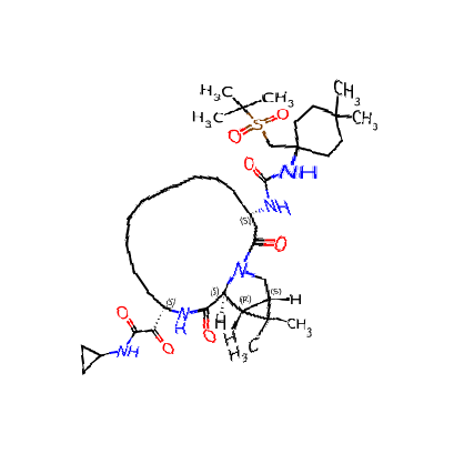 CC1(C)CCC(CS(=O)(=O)C(C)(C)C)(NC(=O)N[C@H]2CCCCCCCCC[C@@H](C(=O)C(=O)NC3CC3)NC(=O)[C@@H]3[C@@H]4[C@H](CN3C2=O)C4(C)C)CC1